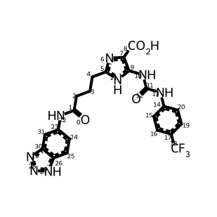 O=C(CCCc1nc(C(=O)O)c(NC(=O)Nc2ccc(C(F)(F)F)cc2)[nH]1)Nc1ccc2[nH]nnc2c1